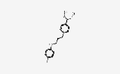 CCOC(OCC)c1ccc(CCCNc2ccc(F)cc2)cc1